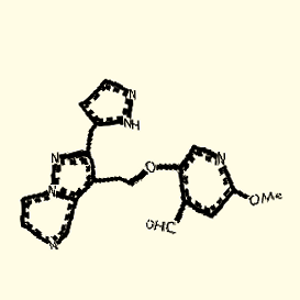 COc1cc(C=O)c(OCc2c(-c3ccn[nH]3)nn3ccncc23)cn1